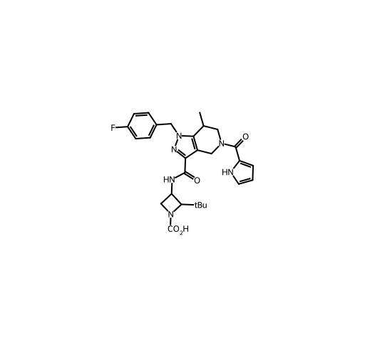 CC1CN(C(=O)c2ccc[nH]2)Cc2c(C(=O)NC3CN(C(=O)O)C3C(C)(C)C)nn(Cc3ccc(F)cc3)c21